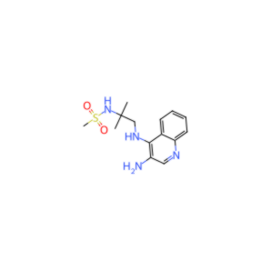 CC(C)(CNc1c(N)cnc2ccccc12)NS(C)(=O)=O